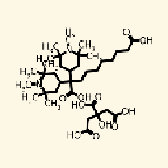 CN1C(C)(C)CC(C(CCCCCCCC(=O)O)(C(=O)O)C2CC(C)(C)N(C)C(C)(C)C2)CC1(C)C.O=C(O)CC(O)(CC(=O)O)C(=O)O